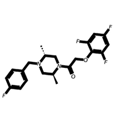 C[C@@H]1CN(C(=O)COc2c(F)cc(F)cc2F)[C@@H](C)CN1Cc1ccc(F)cc1